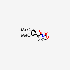 COc1ccc([C@@H](C)C(=O)N2C(=O)OC[C@H]2C(C)C)cc1OC